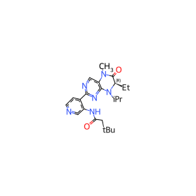 CC[C@@H]1C(=O)N(C)c2cnc(-c3ccncc3NC(=O)CC(C)(C)C)nc2N1C(C)C